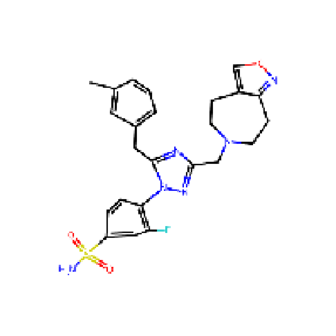 Cc1cccc(Cc2nc(CN3CCc4conc4CC3)nn2-c2ccc(S(N)(=O)=O)cc2F)c1